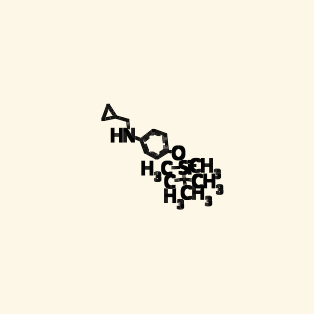 CC(C)(C)[Si](C)(C)Oc1ccc(NCC2CC2)cc1